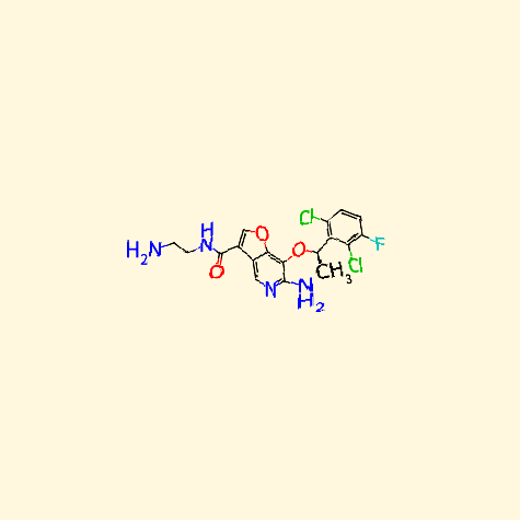 C[C@@H](Oc1c(N)ncc2c(C(=O)NCCN)coc12)c1c(Cl)ccc(F)c1Cl